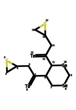 [Te]=C(CC1CS1)C1C[Se]C[Se]C1C(=[Te])CC1CS1